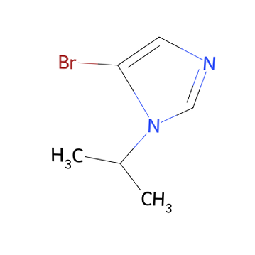 CC(C)n1cncc1Br